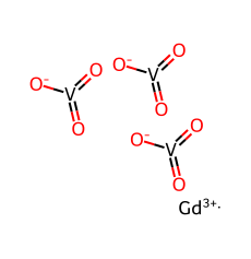 [Gd+3].[O]=[V](=[O])[O-].[O]=[V](=[O])[O-].[O]=[V](=[O])[O-]